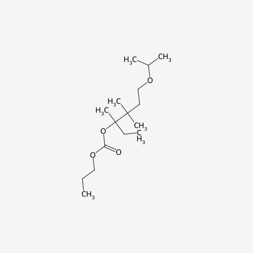 CCCOC(=O)OC(C)(CC)C(C)(C)CCOC(C)C